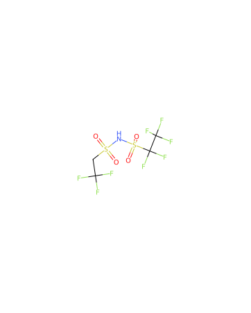 O=S(=O)(CC(F)(F)F)NS(=O)(=O)C(F)(F)C(F)(F)F